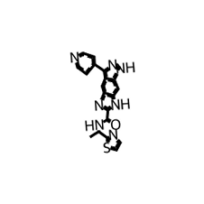 CC(NC(=O)c1nc2cc3c(-c4ccncc4)n[nH]c3cc2[nH]1)c1nccs1